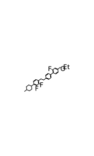 CCOCc1ccc(-c2ccc(CCc3ccc(C4CCC(C)CC4)c(F)c3F)cc2)c(F)c1